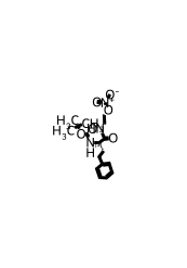 CC(C)(C)OC(=O)N[C@@H](CCc1ccccc1)C(=O)NCCO[N+](=O)[O-]